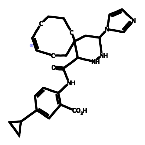 O=C(O)c1cc(C2CC2)ccc1NC(=O)C1NNC(n2ccnc2)CC12CC/C=C\CCCC2